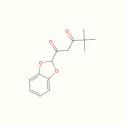 CC(C)(C)C(=O)CC(=O)C1Oc2ccccc2O1